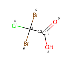 O=[13C](O)C(Cl)(Br)Br